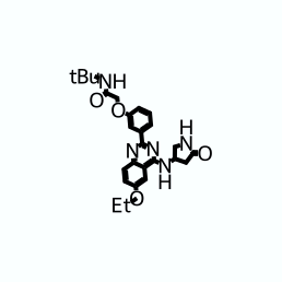 CCOc1ccc2nc(-c3cccc(OCC(=O)NC(C)(C)C)c3)nc(NC3CNC(=O)C3)c2c1